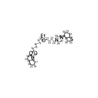 CCC(CCCCCC(=O)Oc1ccc2ccccc2n1)OCCCCN1CCN(c2cccc3sccc23)CC1